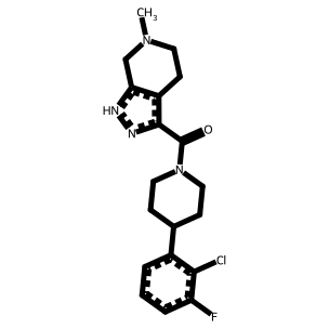 CN1CCc2c(C(=O)N3CCC(c4cccc(F)c4Cl)CC3)n[nH]c2C1